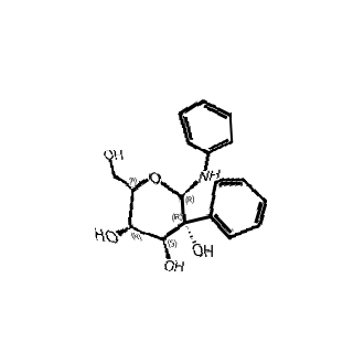 OC[C@H]1O[C@@H](Nc2ccccc2)[C@@](O)(c2ccccc2)[C@@H](O)[C@H]1O